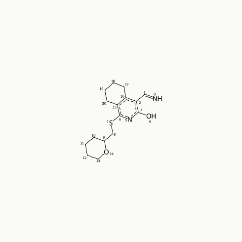 N=Cc1c(O)nc(SCC2CCCCO2)c2c1CCCC2